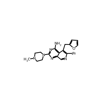 CC(C)c1ncc2nc(N3CCN(C)CC3)nc(N)c2c1Cc1ccco1